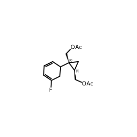 CC(=O)OC[C@@H]1C[C@@]1(COC(C)=O)C1C=CC=C(F)C1